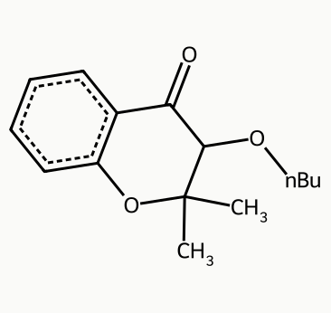 CCCCOC1C(=O)c2ccccc2OC1(C)C